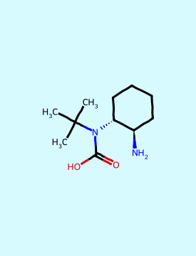 CC(C)(C)N(C(=O)O)[C@@H]1CCCC[C@H]1N